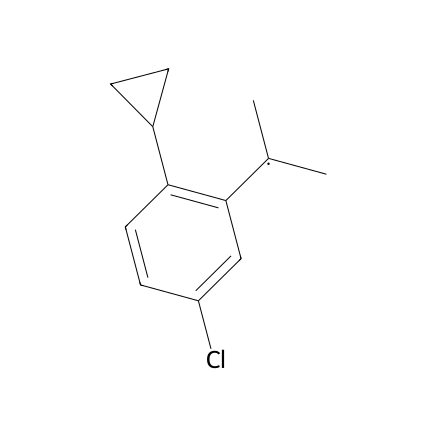 C[C](C)c1cc(Cl)ccc1C1CC1